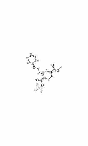 COC(=O)N1CCN(C(=O)OC(C)(C)C)[C@@H](CCOc2ccccc2)C1